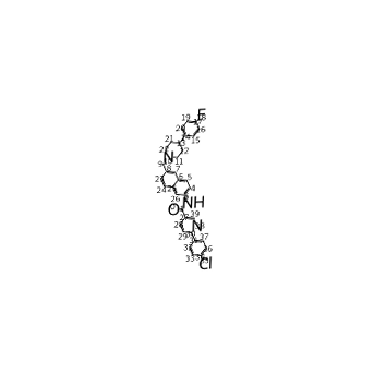 O=C(Nc1ccc2cc(CN3CCC(c4ccc(F)cc4)CC3)ccc2c1)c1ccc(-c2ccc(Cl)cc2)nc1